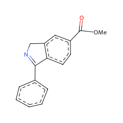 COC(=O)c1ccc2c(c1)CN=C2c1ccccc1